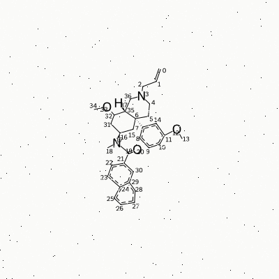 C=CCN1CC[C@@]2(c3cccc(OC)c3)C[C@@H](N(C)C(=O)c3ccc4ccccc4c3)CC(OC)[C@@H]2C1